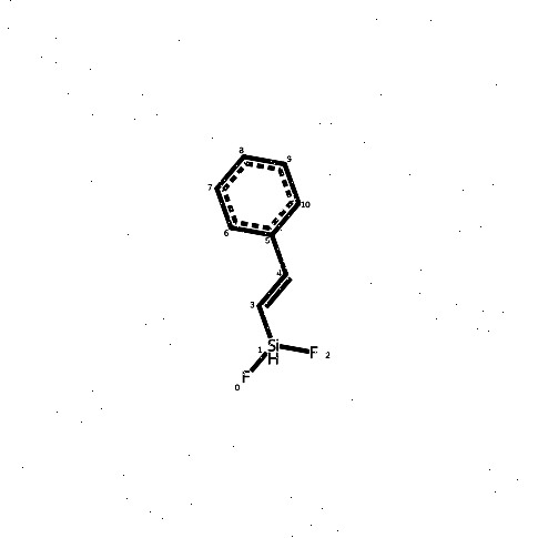 F[SiH](F)C=Cc1ccccc1